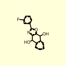 OC1c2ccccc2C(O)c2oc(-c3cccc(F)c3)nc21